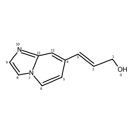 OC/C=C/c1ccn2ccnc2c1